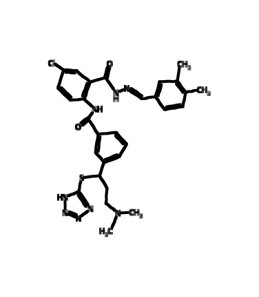 Cc1ccc(C=NNC(=O)c2cc(Cl)ccc2NC(=O)c2cccc(C(CCN(C)C)Sc3nnn[nH]3)c2)cc1C